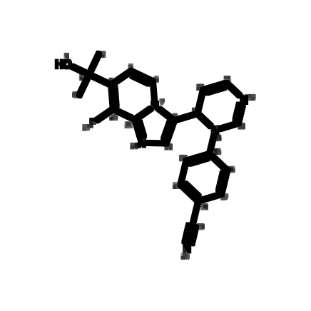 CC(C)(O)c1ccn2c(C3C=CN=CN3c3ccc(C#N)cc3)cnc2c1F